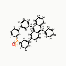 O=[PH](c1ccccc1)c1cccc(-c2ccc3c(-c4ccccc4)c4ccccc4c(-c4ccccc4)c3c2)c1